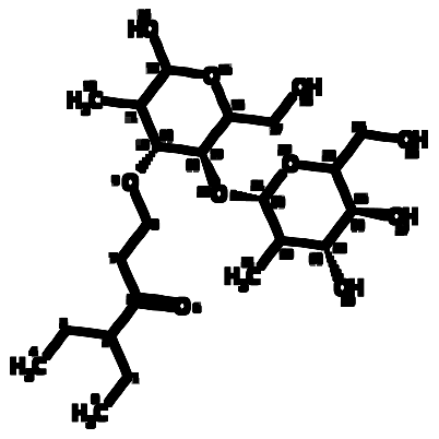 CCC(CC)C(=O)CCO[C@@H]1C(C)C(O)OC(CO)[C@H]1O[C@@H]1OC(CO)[C@@H](O)[C@H](O)C1C